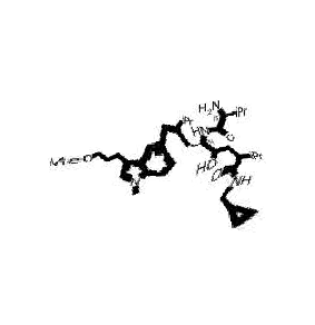 COCCCc1cn(C)c2ccc(CC(C[C@H](NC(=O)[C@@H](N)C(C)C)C(O)CC(C(=O)NCC3CC3)C(C)C)C(C)C)cc12